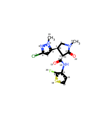 CN1C[C@H](c2cc(Cl)nn2C)[C@@H](C(=O)Nc2ccsc2F)C1=O